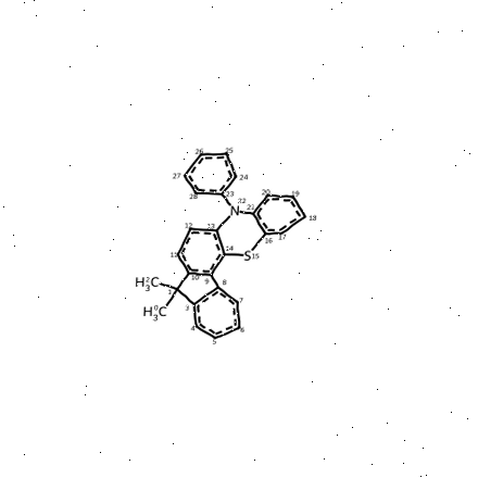 CC1(C)c2ccccc2-c2c1ccc1c2Sc2ccccc2N1c1ccccc1